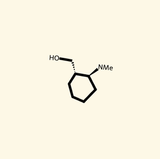 CN[C@H]1CCCC[C@@H]1CO